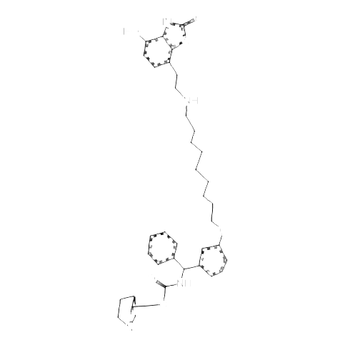 O=C(NC(c1ccccc1)c1cccc(OCCCCCCCCCNCCc2ccc(O)c3[nH]c(=O)sc23)c1)OC1CN2CCC1CC2